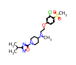 CC(C)c1noc(N2CCC(N(C)CCOc3ccc(S(C)(=O)=O)c(Cl)c3)CC2)n1